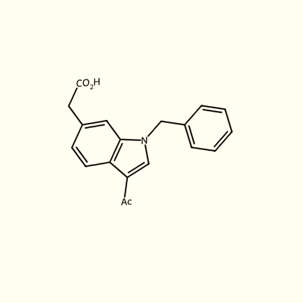 CC(=O)c1cn(Cc2ccccc2)c2cc(CC(=O)O)ccc12